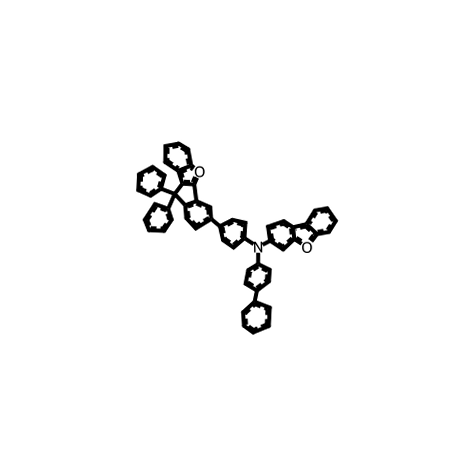 c1ccc(-c2ccc(N(c3ccc(-c4ccc5c(c4)-c4oc6ccccc6c4C5(c4ccccc4)c4ccccc4)cc3)c3ccc4c(c3)oc3ccccc34)cc2)cc1